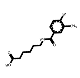 Cc1cc(C(=O)NCCCCCC(=O)O)ccc1Br